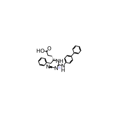 N#C/N=C(/Nc1ccc(-c2ccccc2)cc1)N[C@@H](CCC(=O)O)Cc1ccccc1